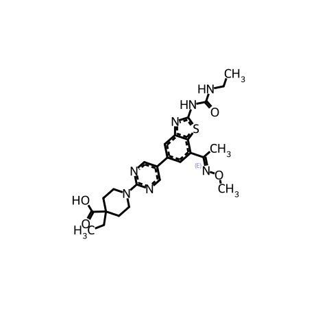 CCNC(=O)Nc1nc2cc(-c3cnc(N4CCC(CC)(C(=O)O)CC4)nc3)cc(/C(C)=N/OC)c2s1